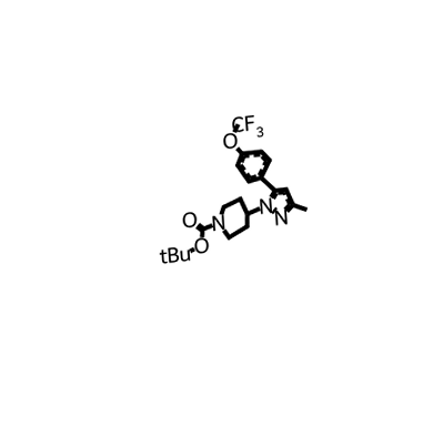 Cc1cc(-c2ccc(OC(F)(F)F)cc2)n(C2CCN(C(=O)OC(C)(C)C)CC2)n1